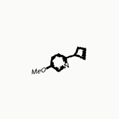 COc1ccc(C2C=CC2)nc1